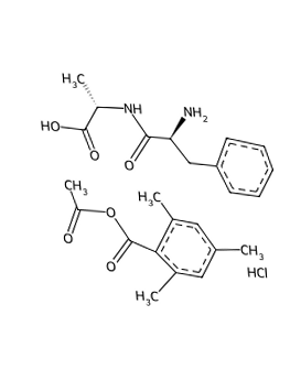 CC(=O)OC(=O)c1c(C)cc(C)cc1C.C[C@H](NC(=O)[C@@H](N)Cc1ccccc1)C(=O)O.Cl